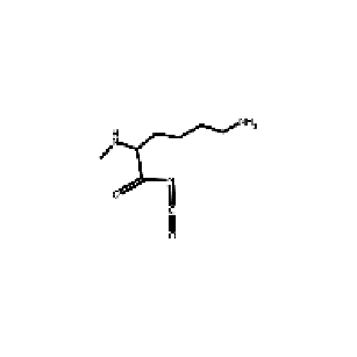 CNC(CCCCN)C(=O)N=C=O